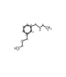 CCSCc1cccc(CSCC)c1